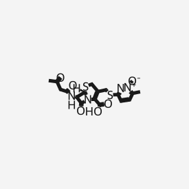 CC(=O)CC(=O)NC1C(=O)N2C(C(=O)O)=C(CSc3ccc(C)[n+]([O-])n3)CS[C@@H]12